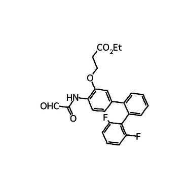 CCOC(=O)CCOc1cc(-c2ccccc2-c2c(F)cccc2F)ccc1NC(=O)C=O